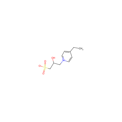 CCc1cc[n+](CC(O)CS(=O)(=O)[O-])cc1